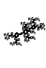 C=C(C)C(=O)Oc1ccc(C#Cc2c(F)c(OC(=O)C(=C)C)c(/C(C)=C(\C)c3ccc(OC(=O)C(=C)C(F)(F)F)c(OC(=O)C(=C)C)c3)c(OC(=O)C(=C)C(F)(F)F)c2F)cc1OC(=O)C(=C)C